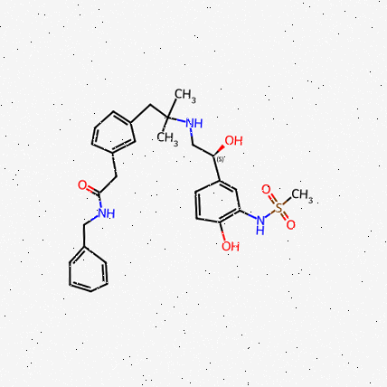 CC(C)(Cc1cccc(CC(=O)NCc2ccccc2)c1)NC[C@@H](O)c1ccc(O)c(NS(C)(=O)=O)c1